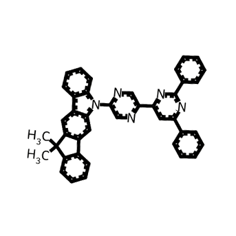 CC1(C)c2ccccc2-c2cc3c(cc21)c1ccccc1n3-c1cnc(-c2cc(-c3ccccc3)nc(-c3ccccc3)n2)cn1